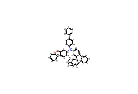 c1ccc(-c2ccc(N(c3ccc4c(c3)C3(c5ccccc5-4)C4CC5CC(C4)CC3C5)c3ccc4c(c3)oc3ccccc34)cc2)cc1